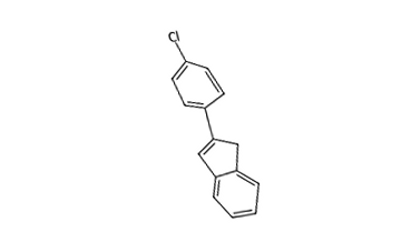 Clc1ccc(C2=Cc3ccccc3C2)cc1